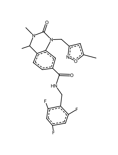 Cc1cc(CN2C(=O)N(C)C(C)c3ccc(C(=O)NCc4c(F)cc(F)cc4F)cc32)no1